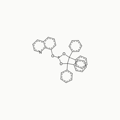 c1ccc(C2(c3ccccc3)OP(Oc3cccc4cccnc34)OC2(c2ccccc2)c2ccccc2)cc1